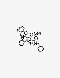 COc1c(C(=O)NCc2ccccc2)sc2c1c(=O)n(Cc1ccccn1)c1ccccc21